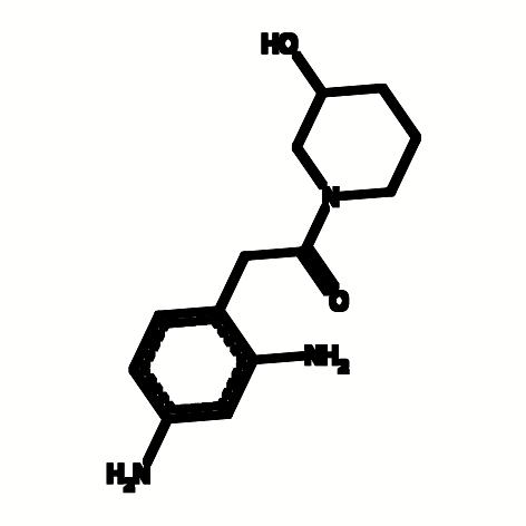 Nc1ccc(CC(=O)N2CCCC(O)C2)c(N)c1